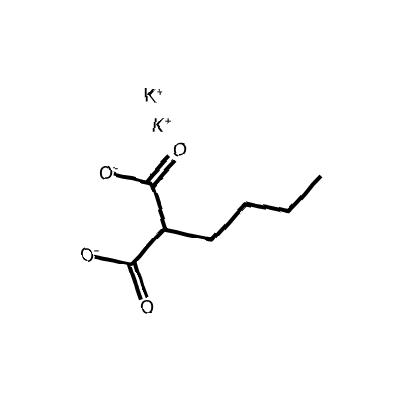 CCCCC(C(=O)[O-])C(=O)[O-].[K+].[K+]